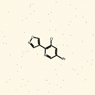 CC(C)c1cnc(-c2cnoc2)c(Cl)c1